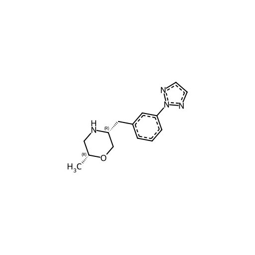 C[C@@H]1CN[C@H](Cc2cccc(-n3nccn3)c2)CO1